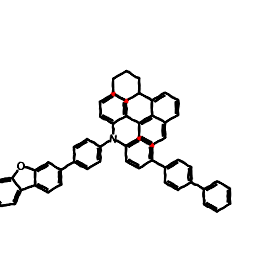 c1ccc(-c2ccc(-c3ccc(N(c4ccc(-c5ccc6c(c5)oc5ccccc56)cc4)c4ccccc4-c4cccc5cccc(C6CCCCC6)c45)cc3)cc2)cc1